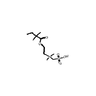 CCC(C)(C)C(=O)OCC[N+](C)(C)CS(=O)(=O)O